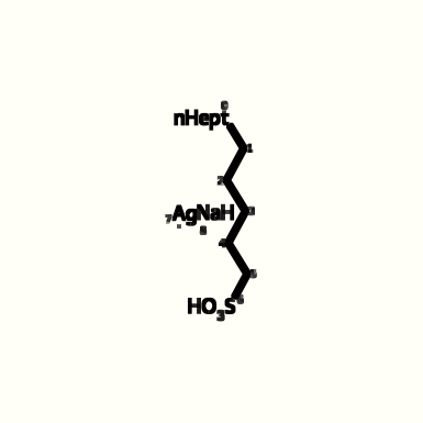 CCCCCCCCCCCCS(=O)(=O)O.[Ag].[NaH]